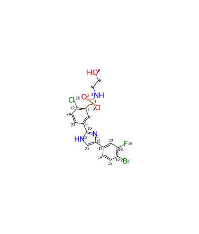 O=S(=O)(NCCO)c1cc(-c2nc(-c3ccc(Br)c(F)c3)c[nH]2)ccc1Cl